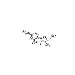 C[C@]1(F)C(O)[C@H](CO)O[C@@H]1n1ccc(N)nc1=O